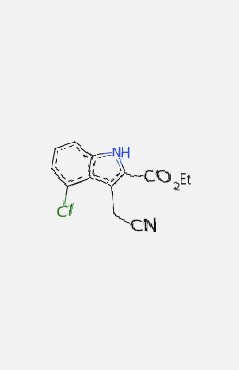 CCOC(=O)c1[nH]c2cccc(Cl)c2c1CC#N